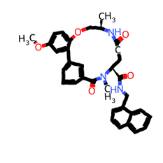 COc1ccc2c(c1)-c1cccc(c1)C(=O)N(C)[C@H](C(=O)NCc1cccc3ccccc13)CCC(=O)N[C@H](C)CO2